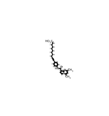 Cc1cc(C)n2ccc(C(=O)Nc3ccc(C#CCCCCCCCCC(=O)O)cc3)c2n1